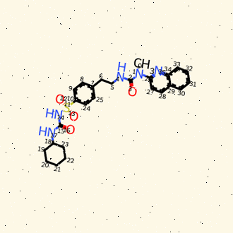 CN(C(=O)NCCc1ccc(S(=O)(=O)NC(=O)NC2CCCCC2)cc1)c1ccc2ccccc2n1